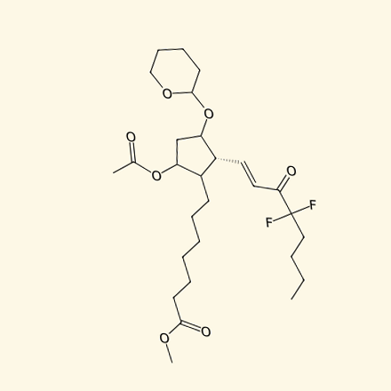 CCCCC(F)(F)C(=O)/C=C/[C@H]1C(OC2CCCCO2)CC(OC(C)=O)C1CCCCCCC(=O)OC